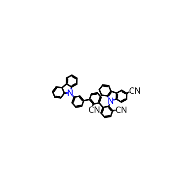 N#Cc1ccc2c(c1)c1c(n2-c2c(C#N)cccc2-c2cccc(-c3cccc(N4c5ccccc5C5C=CC=CC54)c3)c2C#N)CCC=C1